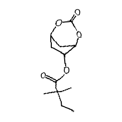 CCC(C)(C)C(=O)OC1CC2CC1OC(=O)O2